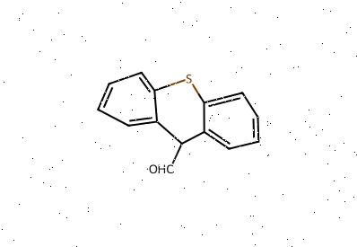 O=[C]C1c2ccccc2Sc2ccccc21